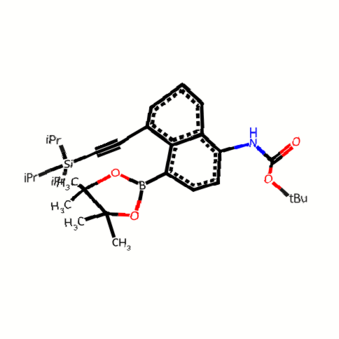 CC(C)[Si](C#Cc1cccc2c(NC(=O)OC(C)(C)C)ccc(B3OC(C)(C)C(C)(C)O3)c12)(C(C)C)C(C)C